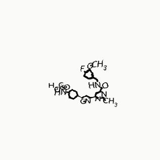 COc1cc(CNC(=O)c2cc(C3=NO[C@@H](C4CCC(NS(C)(=O)=O)CC4)C3)nc(C)n2)ccc1F